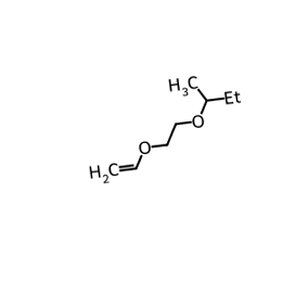 C=COCCOC(C)CC